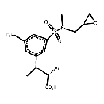 CC[C@H](C(=O)O)C(C)c1cc(C(F)(F)F)cc(S(=O)(=O)N(C)CC2CO2)c1